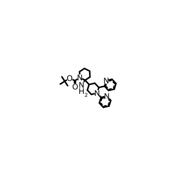 CC(C)(C)OC(=O)N1CCCCC1(N)C1CCN(c2ccccn2)C(c2ccccn2)C1